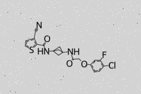 N#Cc1ccsc1C(=O)NC12CC(NC(=O)COc3ccc(Cl)c(F)c3)(C1)C2